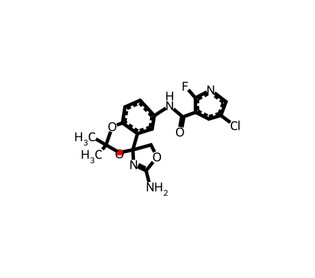 CC1(C)Oc2ccc(NC(=O)c3cc(Cl)cnc3F)cc2C2(COC(N)=N2)C12COC2